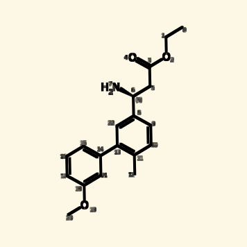 CCOC(=O)C[C@H](N)c1ccc(C)c(-c2cccc(OC)c2)c1